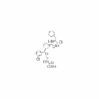 CCC(CC)[C@H](CC1CCCCC1)NC(=O)N1CCC[C@@H]([C@@H](OCCNC(=O)OC)c2cccc(Cl)c2)C1